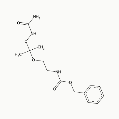 CC(C)(OCCNC(=O)OCc1ccccc1)ONC(N)=O